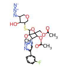 COC12C(SC3COCC(N=[N+]=[N-])C3O)OC1(COC(C)=O)C(OC(C)=O)C2n1cc(-c2cccc(F)c2)nn1